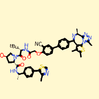 Cc1ncsc1-c1ccc([C@H](C)NC(=O)[C@@H]2C[C@@H](O)CN2C(=O)[C@@H](NC(=O)COc2ccc(-c3ccc(C4=N[C@@H](C)c5nnc(C)n5-c5sc(C)c(C)c54)cc3)cc2C#N)C(C)(C)C)cc1